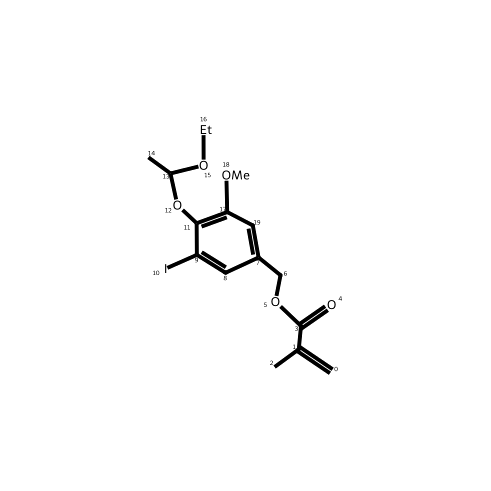 C=C(C)C(=O)OCc1cc(I)c(OC(C)OCC)c(OC)c1